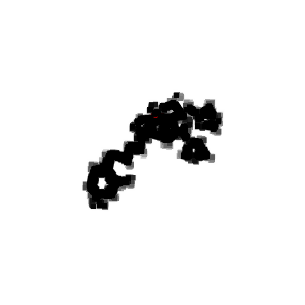 C[C@@H](S[C@H]1CO[C@H](C=CC=Cc2ccc(C#N)cc2F)OC1)[C@@](Cn1cncn1)(OC(=O)n1ccnc1)c1ccc(F)cc1F